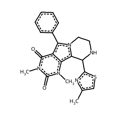 Cc1csc(C2NCCn3c(-c4ccccc4)c4c(=O)n(C)c(=O)n(C)c4c32)n1